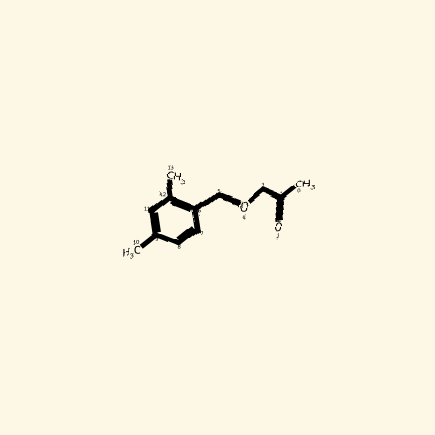 CC(=O)COCc1ccc(C)cc1C